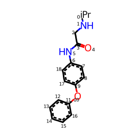 CC(C)NCC(=O)Nc1ccc(Oc2ccccc2)cc1